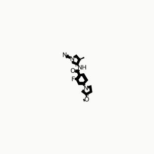 CO[C@@H]1CCN(c2ccc(C(=O)N[C@@H]3CN(C#N)C[C@H]3C)c(F)c2)C1